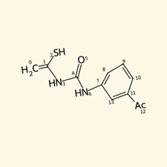 C=C(S)NC(=O)Nc1cccc(C(C)=O)c1